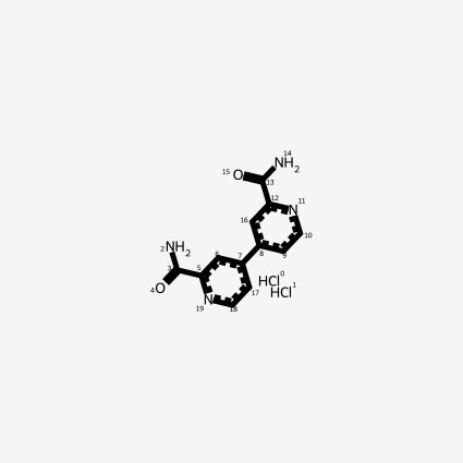 Cl.Cl.NC(=O)c1cc(-c2ccnc(C(N)=O)c2)ccn1